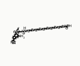 CCCN(OCCCC(=O)NCCOCCOCCOCCOCCOCCOCCOCCOCCOCCOCCC(=O)O)C(=O)C1=Cc2ccc(-c3cncnc3)cc2N=C(N)C1